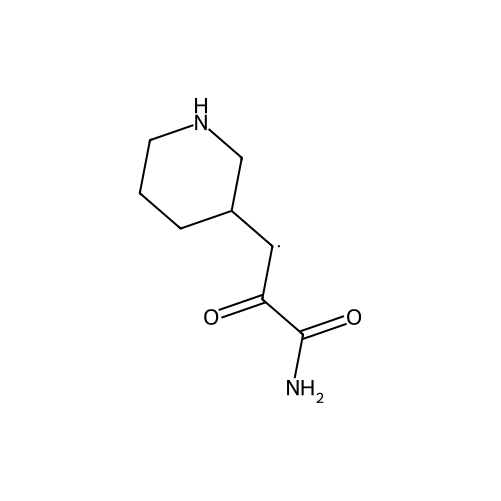 NC(=O)C(=O)[CH]C1CCCNC1